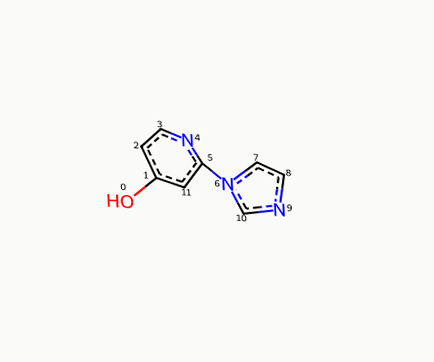 Oc1ccnc(-n2ccnc2)c1